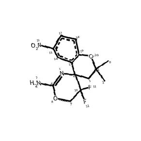 CC1(C)CC2(N=C(N)OCC2(F)F)c2cc([N+](=O)[O-])ccc2O1